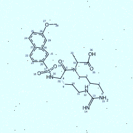 CCCCCN(C(=O)[C@H](CCCNC(=N)N)NS(=O)(=O)c1ccc2ccc(OC)cc2c1)C(C)C(=O)O